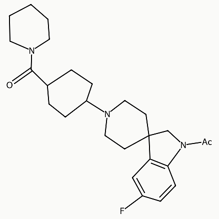 CC(=O)N1CC2(CCN(C3CCC(C(=O)N4CCCCC4)CC3)CC2)c2cc(F)ccc21